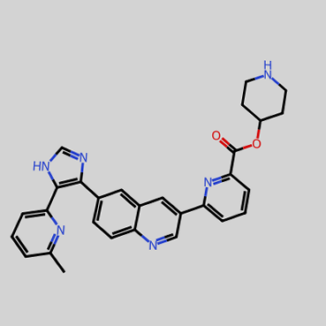 Cc1cccc(-c2[nH]cnc2-c2ccc3ncc(-c4cccc(C(=O)OC5CCNCC5)n4)cc3c2)n1